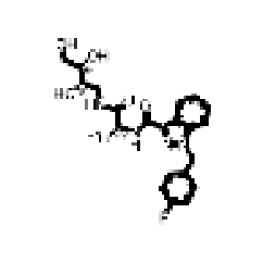 CC(C)(C)[C@H](NC(=O)c1nn(Cc2ccc(F)cc2)c2ccccc12)C(=O)NC[C@@H](O)[C@H](O)CO